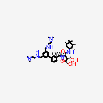 COc1c(CN2O[C@@H](CO)[C@H]([C@H](C)O)[C@H]2C(=O)N[C@H]2C[C@@H](C)C(C)(C)[C@@H](C)[C@@H]2C)cccc1-c1cc(CNCCN(C)C)cc(CNCCN(C)C)c1